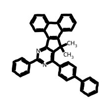 CC1(C)c2c(-c3ccc(-c4ccccc4)cc3)nc(-c3ccccc3)nc2-c2c1c1ccccc1c1ccccc21